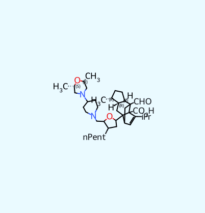 CCCCCC1CC(C23C[C@@H]4[C@H](C)CC[C@H]4C4(C=O)CC2C=C(C(C)C)C34C(=O)O)OC1CN1CCC(N2C[C@@H](C)O[C@@H](C)C2)CC1